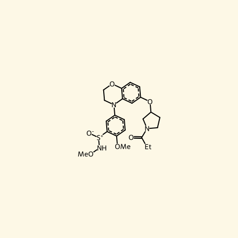 CCC(=O)N1CCC(Oc2ccc3c(c2)N(c2ccc(OC)c([S+]([O-])NOC)c2)CCO3)C1